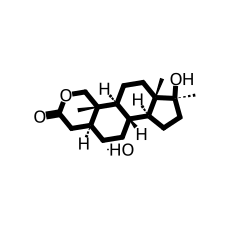 C[C@]12COC(=O)C[C@@H]1CC[C@@H]1[C@@H]2CC[C@@]2(C)[C@H]1CC[C@]2(C)O.[OH]